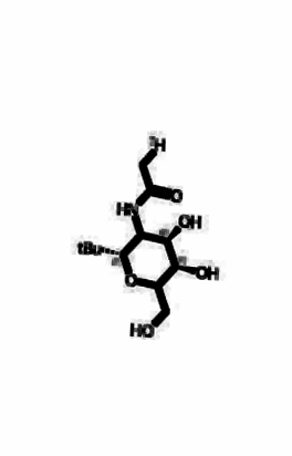 [3H]CC(=O)NC1[C@@H](O)[C@@H](O)C(CO)O[C@@H]1C(C)(C)C